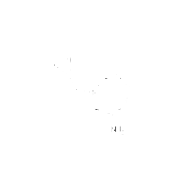 NC1CCCCN(CC2CC2)C1